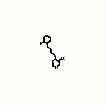 CCc1cnccc1CCCCc1ccccc1I